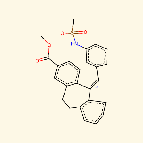 COC(=O)c1ccc2c(c1)CCc1ccccc1/C2=C/c1cccc(NS(C)(=O)=O)c1